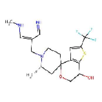 CN/C=C(\C=N)CN1CCC2(C[C@@H]1C)OCC(O)c1sc(C(F)(F)F)cc12